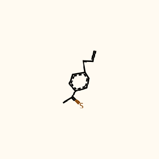 C=CCc1ccc(C(C)=S)cc1